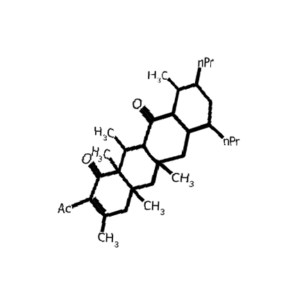 CCCC1CC(CCC)C2CC3(C)CC4(C)CC(C)=C(C(C)=O)C(=O)C4(C)C(C)C3C(=O)C2C1C